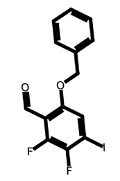 O=Cc1c(OCc2ccccc2)cc(I)c(F)c1F